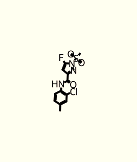 Cc1ccc(NC(=O)c2cc(F)n(S(C)(=O)=O)n2)c(Cl)c1